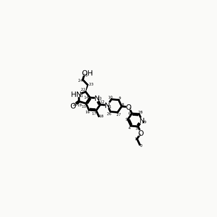 CCOc1ccc(OC2CCN(c3nc4c(cc3C)C(=O)N[C@H]4CCO)CC2)cn1